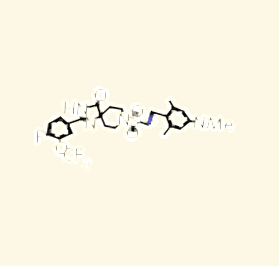 CNc1cc(C)c(/C=C/S(=O)(=O)N2CCC3(CC2)N=C(c2ccc(F)c(OC(F)(F)F)c2)NC3=O)c(C)c1